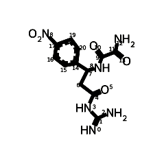 N=C(N)NC(=O)CC(NC(=O)C(N)=O)c1ccc([N+](=O)[O-])cc1